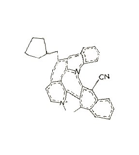 Cc1c2ccccc2c(C#N)c2c1c1c3c(cc[n+]1C)cc(CC1CCCC1)c1c4ccccc4n2c13